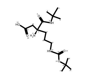 CC(C)(C)NC(=O)[C@](N)(CCCNC(=O)OC(C)(C)C)CC(=O)O